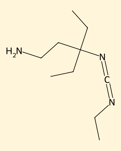 CCN=C=NC(CC)(CC)CCN